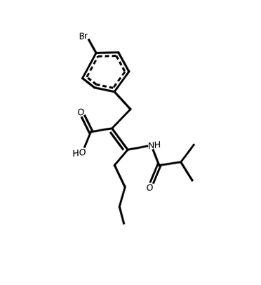 CCCCC(NC(=O)C(C)C)=C(Cc1ccc(Br)cc1)C(=O)O